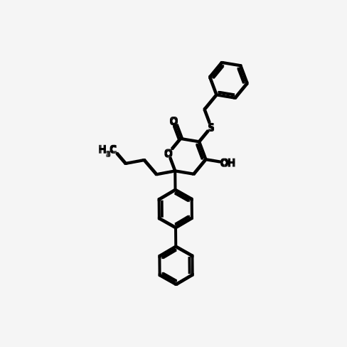 CCCCC1(c2ccc(-c3ccccc3)cc2)CC(O)=C(SCc2ccccc2)C(=O)O1